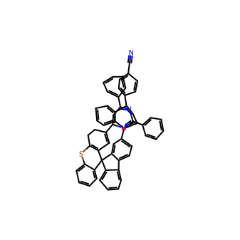 N#Cc1ccc(-c2ccc(-c3ccc4c(c3)C3(C5=C(CCC(c6cc(-c7ccccc7)nc(-c7ccccc7)n6)=C5)Sc5ccccc53)c3ccccc3-4)c3ccccc23)cc1